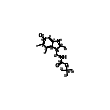 Cc1c(C)[n+]([O-])cc2nc(C)n(CNC(=O)OC(C)(C)C)c12